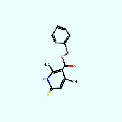 Cc1cc(=S)[nH]c(C)c1C(=O)OCc1ccccc1